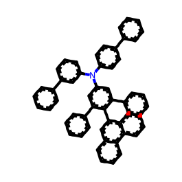 c1ccc(-c2ccc(N(c3cccc(-c4ccccc4)c3)c3cc(-c4ccccc4)c(-c4cc5ccccc5c5ccccc45)c(-c4ccccc4)c3)cc2)cc1